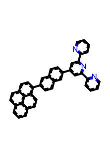 c1ccc(-c2cc(-c3ccc4cc(-c5ccc6ccc7cccc8ccc5c6c78)ccc4c3)cc(-c3ccccn3)n2)nc1